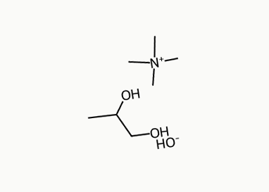 CC(O)CO.C[N+](C)(C)C.[OH-]